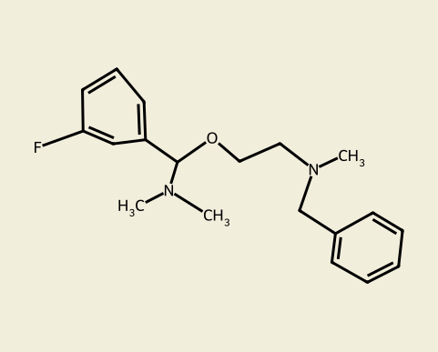 CN(CCOC(c1cccc(F)c1)N(C)C)Cc1ccccc1